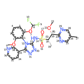 COc1cccc(OC(F)F)c1-n1c(NS(=O)(=O)[C@@H](C)[C@H](OC)c2ncc(C)cn2)nnc1-c1cccnc1